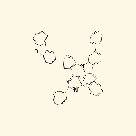 c1ccc(-c2ccc3c4ccccc4n(-c4ccc(-c5ccc6oc7ccccc7c6c5)cc4-c4nc(-c5ccccc5)nc(-c5ccccc5)n4)c3c2)cc1